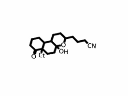 CCC12CCC3(O)OC(CCCC#N)CCC3C1CCCC2=O